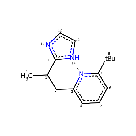 CC(Cc1cccc(C(C)(C)C)n1)c1ncc[nH]1